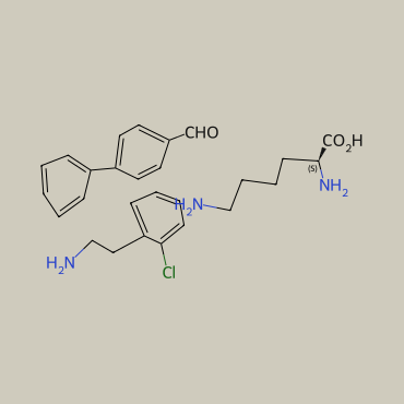 NCCCC[C@H](N)C(=O)O.NCCc1ccccc1Cl.O=Cc1ccc(-c2ccccc2)cc1